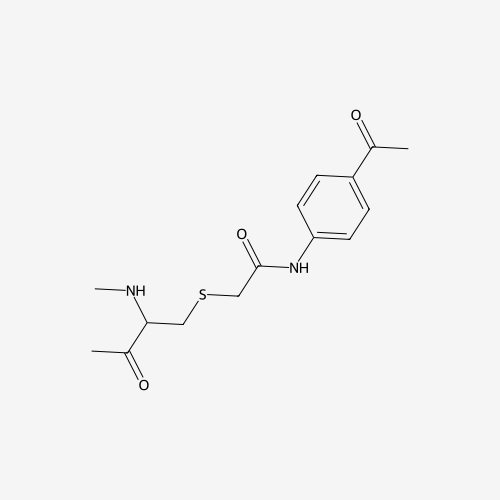 CNC(CSCC(=O)Nc1ccc(C(C)=O)cc1)C(C)=O